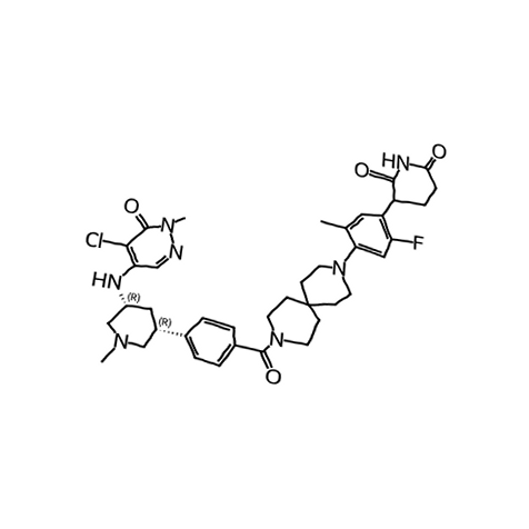 Cc1cc(C2CCC(=O)NC2=O)c(F)cc1N1CCC2(CCN(C(=O)c3ccc([C@H]4C[C@@H](Nc5cnn(C)c(=O)c5Cl)CN(C)C4)cc3)CC2)CC1